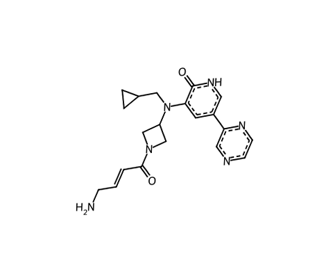 NC/C=C/C(=O)N1CC(N(CC2CC2)c2cc(-c3cnccn3)c[nH]c2=O)C1